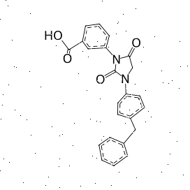 O=C(O)c1cccc(N2C(=O)CN(c3ccc(Cc4ccccc4)cc3)C2=O)c1